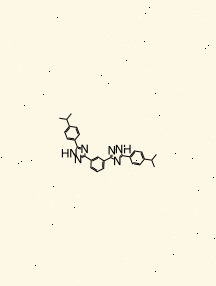 CC(C)c1ccc(-c2nc(-c3cccc(-c4n[nH]c(-c5ccc(C(C)C)cc5)n4)c3)n[nH]2)cc1